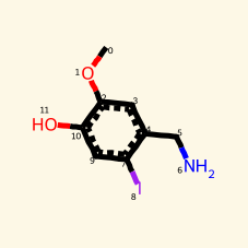 COc1cc(CN)c(I)cc1O